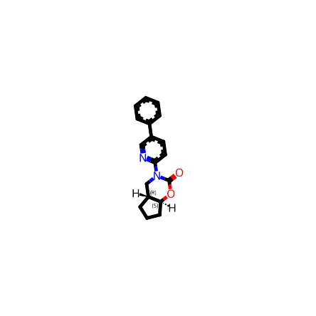 O=C1O[C@H]2CCC[C@@H]2CN1c1ccc(-c2ccccc2)cn1